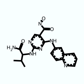 CC(C)C(Nc1ncc(C(=O)N=O)c(Nc2ccc3ncccc3c2)n1)C(N)=O